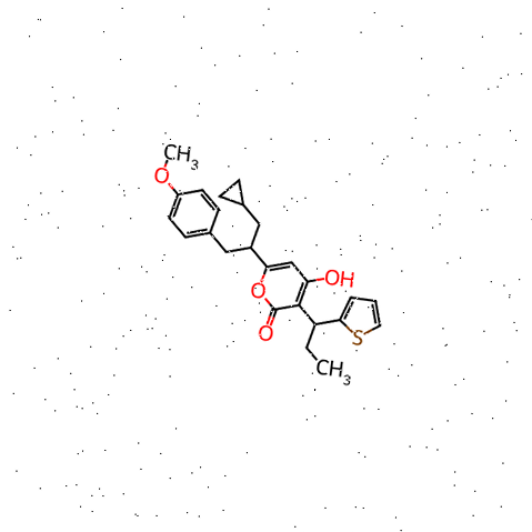 CCC(c1cccs1)c1c(O)cc(C(Cc2ccc(OC)cc2)CC2CC2)oc1=O